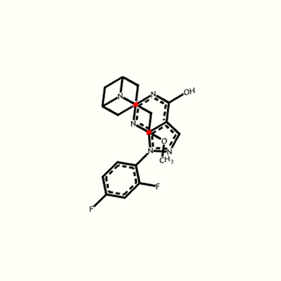 COCCN1CC2CC(C1)N2c1nc(O)c2cnn(-c3ccc(F)cc3F)c2n1